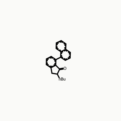 CCCCC1Cc2cccc(-c3cccc4ccccc34)c2C1=O